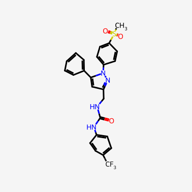 CS(=O)(=O)c1ccc(-n2nc(CNC(=O)Nc3ccc(C(F)(F)F)cc3)cc2-c2ccccc2)cc1